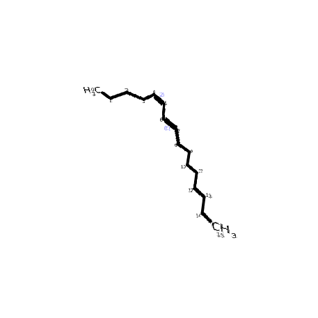 CCCC/C=C\C=C\CCCCCCCC